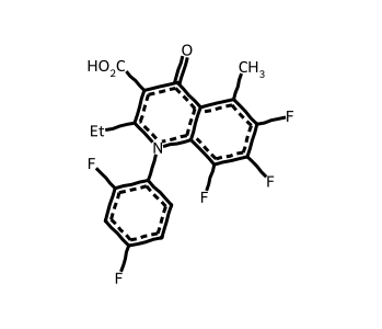 CCc1c(C(=O)O)c(=O)c2c(C)c(F)c(F)c(F)c2n1-c1ccc(F)cc1F